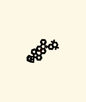 CC1(C)CCC(C)(C)c2cc(N(c3ccc(-c4cccc5c4-c4ccccc4C54C5CC6CC7CC4C75C6)cc3)c3ccccc3-c3ccccc3)ccc21